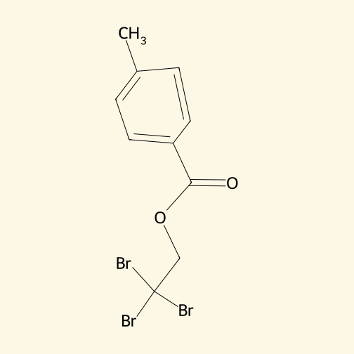 Cc1ccc(C(=O)OCC(Br)(Br)Br)cc1